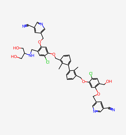 Cc1c(COc2cc(OCc3cncc(C#N)c3)c(CO)cc2Cl)cccc1-c1cccc(COc2cc(OCc3cncc(C#N)c3)c(CNC(CO)CO)cc2Cl)c1C